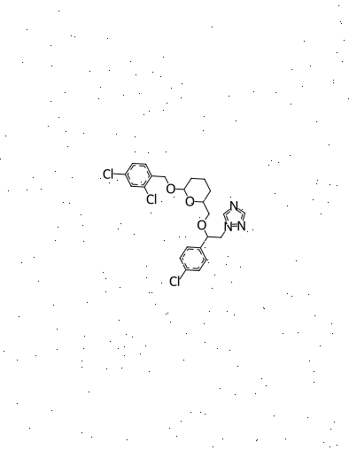 Clc1ccc(C(Cn2cncn2)OCC2CCCC(OCc3ccc(Cl)cc3Cl)O2)cc1